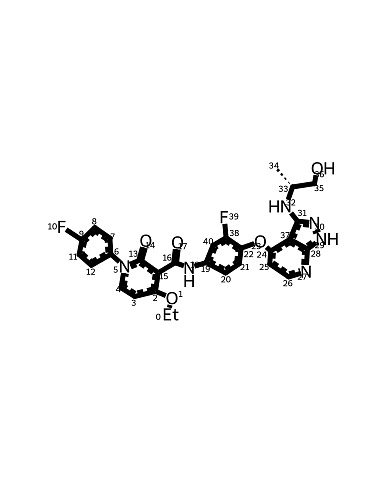 CCOc1ccn(-c2ccc(F)cc2)c(=O)c1C(=O)Nc1ccc(Oc2ccnc3[nH]nc(N[C@H](C)CO)c23)c(F)c1